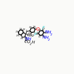 CC(C)(C)C1(Cc2ccc(Oc3c(F)cc(N)c(N)c3F)cc2)c2ccccc2CC1NC(=O)O